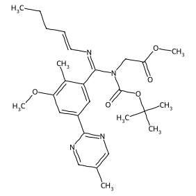 CCC/C=C/N=C(\c1cc(-c2ncc(C)cn2)cc(OC)c1C)N(CC(=O)OC)C(=O)OC(C)(C)C